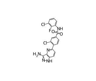 Nc1n[nH]c2ccc(-c3ccc(S(=O)(=O)Nc4cccc(Cl)c4F)cc3Cl)nc12